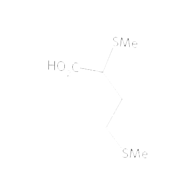 CSCCC(SC)C(=O)O